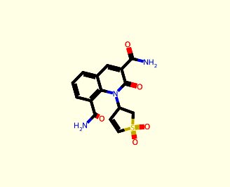 NC(=O)c1cc2cccc(C(N)=O)c2n(C2C=CS(=O)(=O)C2)c1=O